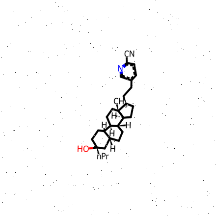 CCC[C@@]1(O)CC[C@H]2[C@H](CC[C@@H]3[C@@H]2CC[C@]2(C)[C@@H](CCc4ccc(C#N)nc4)CC[C@@H]32)C1